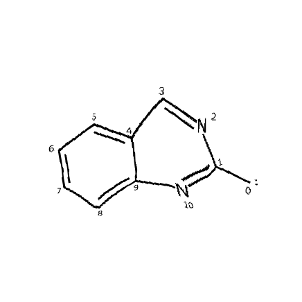 [CH]c1ncc2ccccc2n1